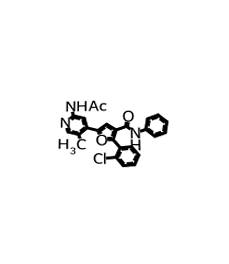 CC(=O)Nc1cc(-c2cc(C(=O)Nc3ccccc3)c(-c3ccccc3Cl)o2)c(C)cn1